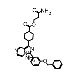 NC(=O)CCOC(=O)C1CCC(C2=C3C=NC=C[N+]3(N)C(c3cccc(OCc4ccccc4)c3)=N2)CC1